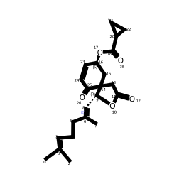 CC(C)=CCC/C(C)=C/[C@H]1OC(=O)CC12C[C@H](OC(=O)C1CC1)C=CC2=O